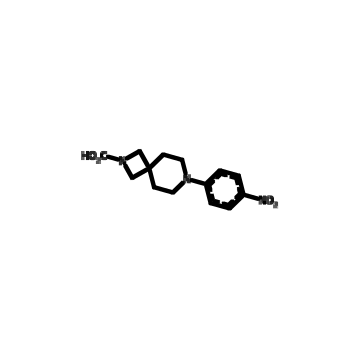 O=C(O)N1CC2(CCN(c3ccc([N+](=O)[O-])cc3)CC2)C1